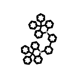 c1ccc(C2(c3ccccc3)c3ccccc3N(c3cccc(-c4cccc(N5c6ccccc6C(c6ccccc6)(c6ccccc6)c6ccccc65)c4)c3)c3ccccc32)cc1